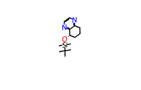 CC(C)(C)[Si](C)(C)O[C@H]1CCCc2nccnc21